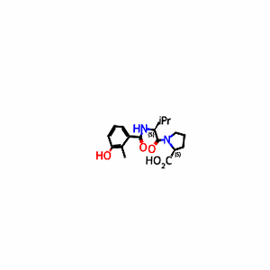 Cc1c(O)cccc1C(=O)N[C@H](C(=O)N1CCC[C@H]1C(=O)O)C(C)C